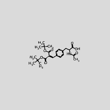 CC(=O)NC(Cc1ccc(C=C(C(=O)OC(C)(C)C)C(=O)OC(C)(C)C)cc1)C(=O)O